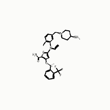 C=CN(c1cc(O[C@H](C)c2ccccc2C(F)(F)F)c(C(N)=O)s1)c1cc(CN2CCC(N)CC2)ccc1C